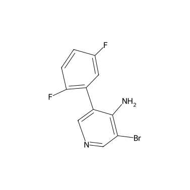 Nc1c(Br)cncc1-c1cc(F)ccc1F